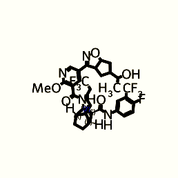 COc1ncc(C2=NOC3CC(C(C)O)CC23)cc1C(=O)N[C@H]1[C@@H](C(=O)Nc2ccc(F)c(C(F)(F)F)c2)[C@H]2CC[C@@H]1/C2=C\CCC(F)(F)F